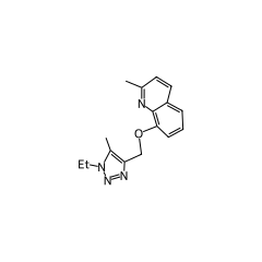 CCn1nnc(COc2cccc3ccc(C)nc23)c1C